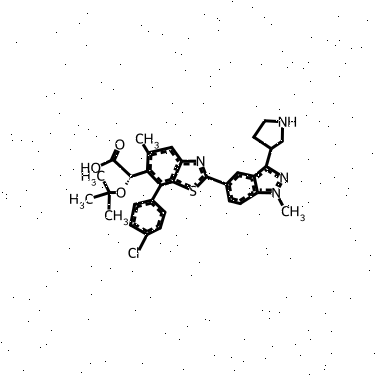 Cc1cc2nc(-c3ccc4c(c3)c(C3CCNC3)nn4C)sc2c(-c2ccc(Cl)cc2)c1[C@H](OC(C)(C)C)C(=O)O